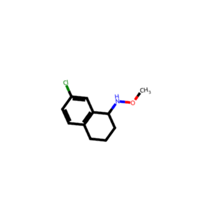 CONC1CCCc2ccc(Cl)cc21